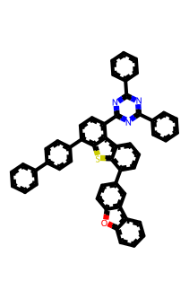 c1ccc(-c2ccc(-c3ccc(-c4nc(-c5ccccc5)nc(-c5ccccc5)n4)c4c3sc3c(-c5ccc6oc7ccccc7c6c5)cccc34)cc2)cc1